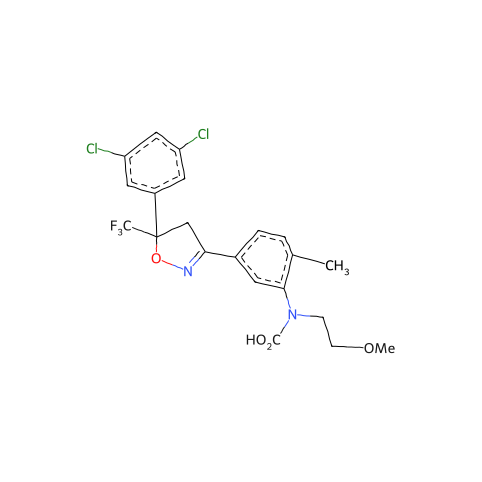 COCCN(C(=O)O)c1cc(C2=NOC(c3cc(Cl)cc(Cl)c3)(C(F)(F)F)C2)ccc1C